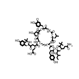 CCC(C)[C@H](NC(=O)[C@@H](CC(=O)[C@@H]1CSSC[C@H](NC(=O)[C@@H](CCC(=O)O)CC(=O)[C@H](Cc2ccc(O)cc2)NC(C)(C)C)C(=O)N2C[C@H](O)C[C@@H]2C(=O)C[C@@H](Cc2ccc(O)c(Cl)c2)C(=O)NCC(=O)C[C@@H](CC(C)C)C(=O)N1)Cc1ccc(O)cc1)C(=O)C[C@@H](CCC(N)=O)C(=O)C(C)(C)C